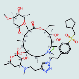 CC[C@H]1OC(=O)[C@H](C)[C@@H](O[C@H]2C[C@@](C)(OC)[C@@H](O)[C@H](C)O2)[C@H](C)[C@@H](O[C@@H]2O[C@H](C)C[C@H](N(C)CCc3cn([C@H](CF)Cc4ccc(S(=O)(=O)CC5CCCC5)cc4)nn3)[C@H]2O)[C@](C)(O)C[C@@H](C)CN(C)[C@H](C)[C@@H](O)[C@]1(C)O